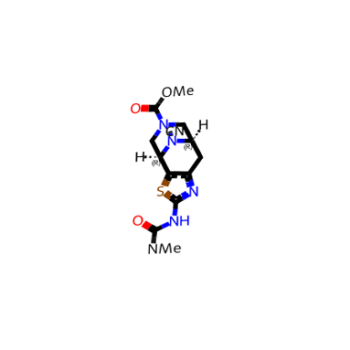 CNC(=O)Nc1nc2c(s1)[C@H]1CN(C(=O)OC)C[C@@H](C2)N1C#N